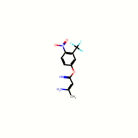 C/C(N)=C/C(=N)Oc1ccc([N+](=O)[O-])c(C(F)(F)F)c1